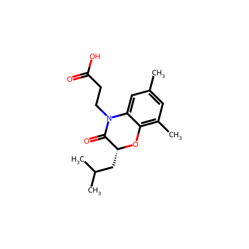 Cc1cc(C)c2c(c1)N(CCC(=O)O)C(=O)[C@@H](CC(C)C)O2